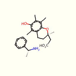 C[C@@H](N)c1ccccc1.Cc1c(C)c2c(c(C)c1O)CC[C@](C)(CC(=O)O)O2